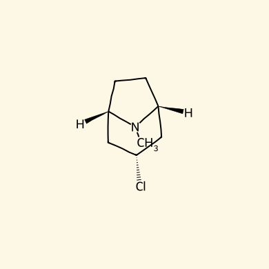 CN1[C@@H]2CC[C@H]1C[C@@H](Cl)C2